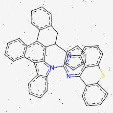 c1ccc(C2Cc3ccccc3-c3c2c2c(c4ccccc34)c3ccccc3n2-c2nc3c4c(cccc4n2)Sc2ccccc2-3)cc1